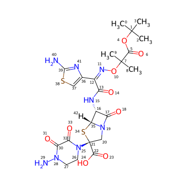 CC(C)(C)OC(=O)C(C)(C)O/N=C(\C(=O)N[C@@H]1C(=O)N2C[C@@](C(=O)O)(N3CCN(N)C(=O)C3=O)S[C@H]12)c1csc(N)n1